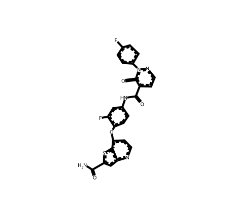 NC(=O)c1cc2nccc(Oc3ccc(NC(=O)c4ccnn(-c5ccc(F)cc5)c4=O)cc3F)c2s1